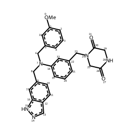 COc1cccc(CN(Cc2ccc3cn[nH]c3c2)c2cccc(CN3CC(=O)NCC3=O)c2)c1